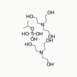 CC(C)[O][Ti]([OH])([OH])[OH].OCCN(CCO)CCO.OCCN(CCO)CCO